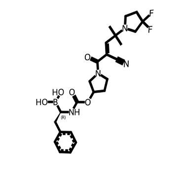 CC(C)(C=C(C#N)C(=O)N1CCC(OC(=O)N[C@@H](Cc2ccccc2)B(O)O)C1)N1CCC(F)(F)C1